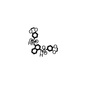 O=S(=O)(Nc1ccc(NS(=O)(=O)c2ccc3c(c2)OCCO3)c2ccccc12)c1ccc2c(c1)OCCO2